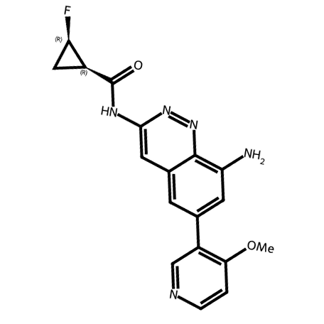 COc1ccncc1-c1cc(N)c2nnc(NC(=O)[C@H]3C[C@H]3F)cc2c1